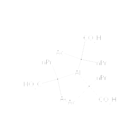 CCC[C](C(C)=O)(C(=O)O)[Al]([C](CCC)(C(C)=O)C(=O)O)[C](CCC)(C(C)=O)C(=O)O